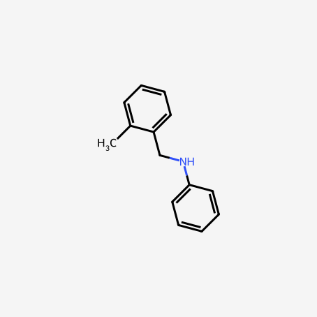 Cc1ccccc1CNc1ccccc1